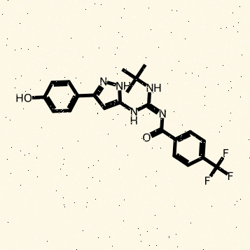 CC(C)(C)N/C(=N/C(=O)c1ccc(C(F)(F)F)cc1)Nc1cc(-c2ccc(O)cc2)n[nH]1